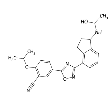 CC(O)NC1CCc2c(-c3noc(-c4ccc(OC(C)C)c(C#N)c4)n3)cccc21